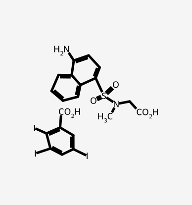 CN(CC(=O)O)S(=O)(=O)c1ccc(N)c2ccccc12.O=C(O)c1cc(I)cc(I)c1I